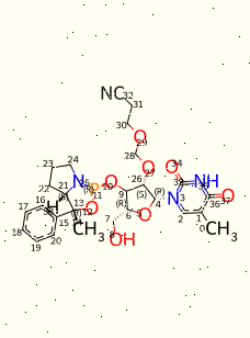 Cc1cn([C@@H]2O[C@H](CO)C(O[P@@]3O[C@](C)(c4ccccc4)[C@@H]4CCCN43)[C@@H]2OCOCCC#N)c(=O)[nH]c1=O